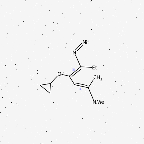 CC/C(N=N)=C(\C=C(/C)NC)OC1CC1